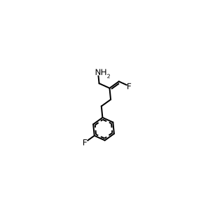 NC/C(=C/F)CCc1cccc(F)c1